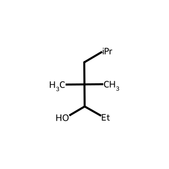 CCC(O)C(C)(C)CC(C)C